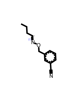 CCC/[C]=N/OCc1cccc(C#N)c1